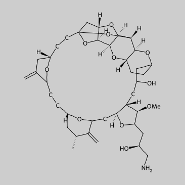 C=C1C[C@@H]2CCC34C[C@@H]5O[C@@H]6[C@@H](O[C@H]7CCC(CC(O)C[C@H]8[C@H](CC9O[C@@H](CCC1O2)C[C@@H](C)C9=C)OC(C[C@H](O)CN)[C@@H]8OC)O[C@@H]7[C@@H]6O3)[C@H]5O4